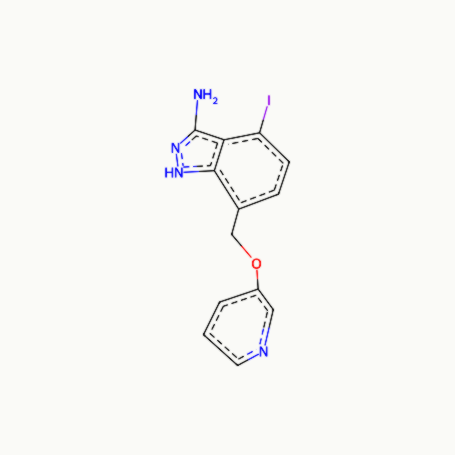 Nc1n[nH]c2c(COc3cccnc3)ccc(I)c12